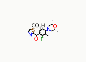 Cc1c(F)c(C(=O)c2nccs2)cc(C(=O)O)c1N1C[C@@H](C)O[C@@H](C)C1